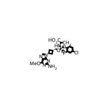 COc1nc(N)nc2c1ncn2[C@H]1C[C@@H](COP(=O)(NC(C)C(=O)O)Oc2ccc(Cl)cc2F)C1